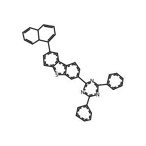 C1=CC2C=CC=C(c3ccc4sc5cc(-c6nc(-c7ccccc7)nc(-c7ccccc7)n6)ccc5c4c3)C2C=C1